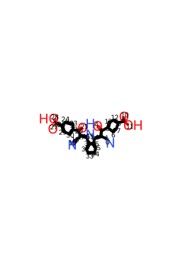 N#C/C(C(=O)c1ccc(C(=O)O)cc1)=c1/[nH]/c(=C(/C#N)C(=O)c2ccc(C(=O)O)cc2)c2ccccc12